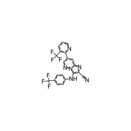 N#Cc1nc2cc(-c3ncccc3C(F)(F)F)cnn2c1Nc1ccc(C(F)(F)F)cc1